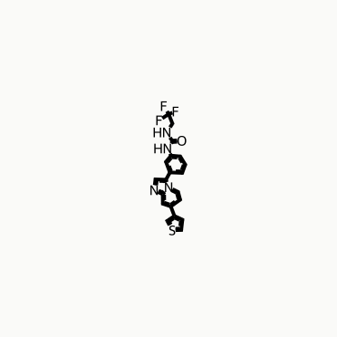 O=C(NCC(F)(F)F)Nc1cccc(-c2cnc3cc(-c4ccsc4)ccn23)c1